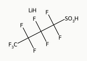 O=S(=O)(O)C(F)(F)C(F)(F)C(F)(F)C(F)(F)F.[LiH]